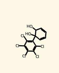 OC1C=CC=CC1(O)c1c(Cl)c(Cl)c(Cl)c(Cl)c1Cl